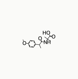 COc1ccc(C(C)C(=O)NC(C)(C)C(=O)O)cc1